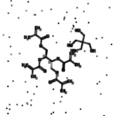 C=C(C)C(=O)OC[C@H](OC(=O)C(=C)C)[C@@H](COC(=O)C(=C)C)OC(=O)C(=C)C.OCC(CO)(CO)CO